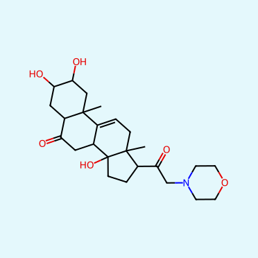 CC12CC(O)C(O)CC1C(=O)CC1C2=CCC2(C)C(C(=O)CN3CCOCC3)CCC12O